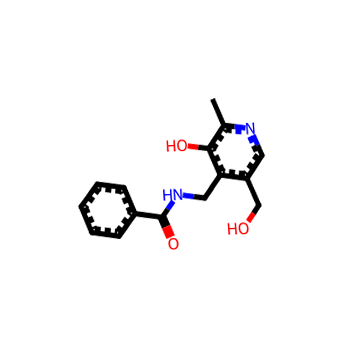 Cc1ncc(CO)c(CNC(=O)c2ccccc2)c1O